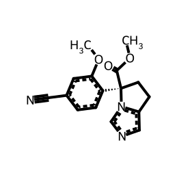 COC(=O)[C@@]1(c2ccc(C#N)cc2OC)CCc2cncn21